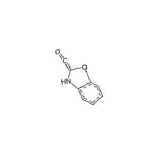 O=C=C1Nc2ccccc2O1